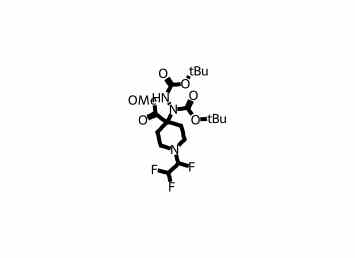 COC(=O)C1(N(NC(=O)OC(C)(C)C)C(=O)OC(C)(C)C)CCN(C(F)C(F)F)CC1